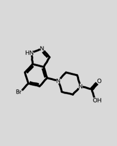 O=C(O)N1CCN(c2cc(Br)cc3[nH]ncc23)CC1